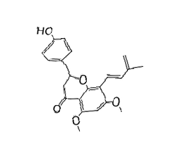 C=C(C)C=Cc1c(OC)cc(OC)c2c1OC(c1ccc(O)cc1)CC2=O